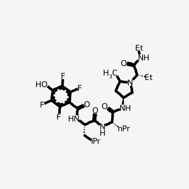 CCC[C@H](NC(=O)[C@H](CC(C)C)NC(=O)c1c(F)c(F)c(O)c(F)c1F)C(=O)N[C@H]1CC(C)N([C@@H](CC)C(=O)NCC)C1